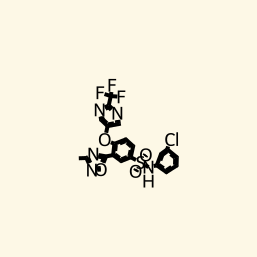 Cc1noc(-c2cc(S(=O)(=O)Nc3cccc(Cl)c3)ccc2Oc2cnc(C(F)(F)F)nc2)n1